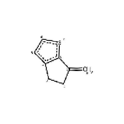 C=C1CCc2ccsc21